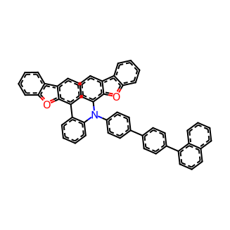 c1ccc(N(c2ccc(-c3ccc(-c4cccc5ccccc45)cc3)cc2)c2cccc3c2oc2ccccc23)c(-c2cccc3c2oc2ccccc23)c1